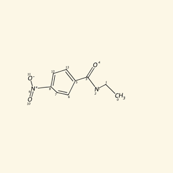 CC[N]C(=O)c1ccc([N+](=O)[O-])cc1